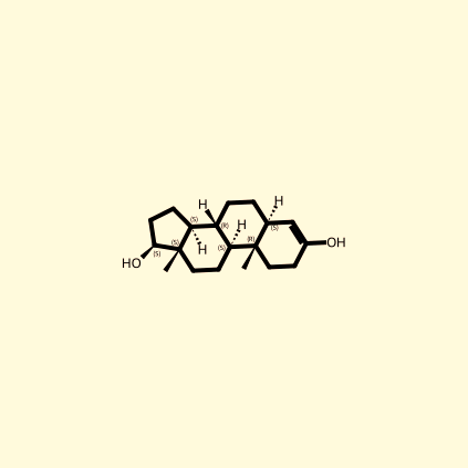 C[C@]12CCC(O)=C[C@@H]1CC[C@@H]1[C@@H]2CC[C@]2(C)[C@@H](O)CC[C@@H]12